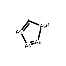 [C]1=[As][As]=[As][AsH]1